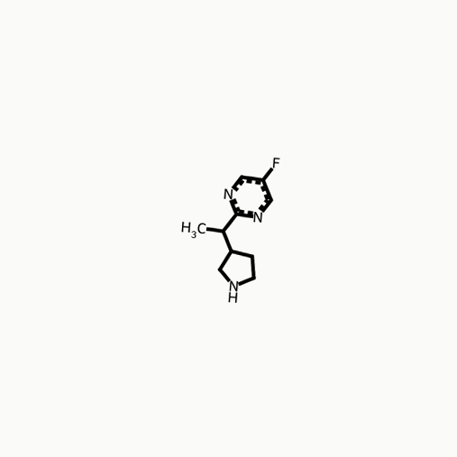 CC(c1ncc(F)cn1)C1CCNC1